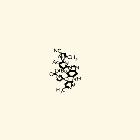 CC(=O)c1ccc(-n2cnc3cc(Nc4ccc(C)nn4)c(OC4CCN(C(=O)OC(C)(C)C)C4)cc32)nc1-n1nc(C#N)cc1C